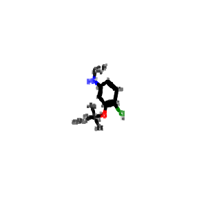 CC[Si](CC)(Oc1cc(NC(=O)O)ccc1Cl)C(C)(C)C